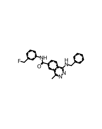 Cc1nnc(NCc2ccccc2)c2ccc(C(=O)Nc3cccc(CF)c3)cc12